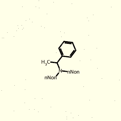 CCCCCCCCCN(CCCCCCCCC)C(C)c1ccccc1